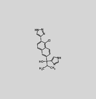 CC(C)C(O)(c1ccc2c(Cl)c(-c3c[nH]nn3)ccc2c1)c1c[nH]cn1